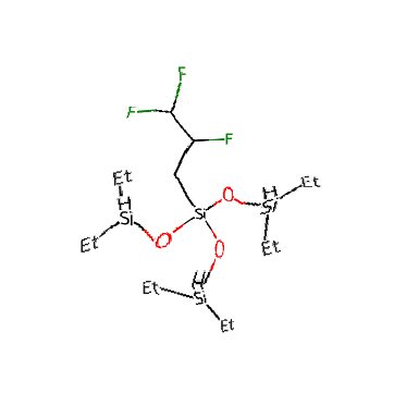 CC[SiH](CC)O[Si](CC(F)C(F)F)(O[SiH](CC)CC)O[SiH](CC)CC